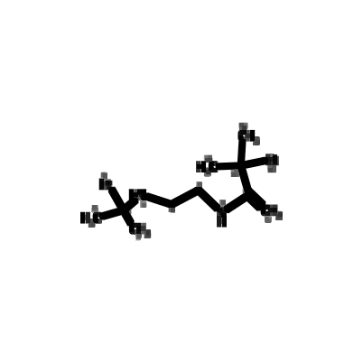 C=C(NCCNC(C)(C)CC)C(C)(C)CC